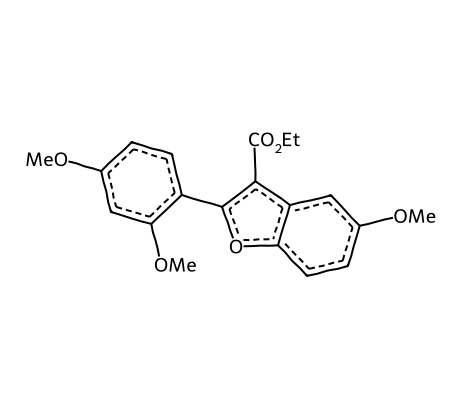 CCOC(=O)c1c(-c2ccc(OC)cc2OC)oc2ccc(OC)cc12